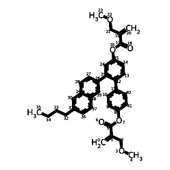 C=C(COC)C(=O)Oc1ccc(-c2ccc(OC(=O)C(=C)COC)cc2-c2ccc3cc(CCCC)ccc3c2)cc1